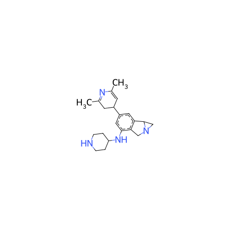 CC1=CC(c2cc(NC3CCNCC3)c3c(c2)C2CN2C3)CC(C)=N1